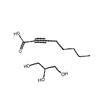 CCCCCC#CC(=O)O.OCC(O)CO